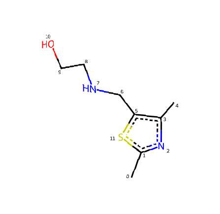 Cc1nc(C)c(CNCCO)s1